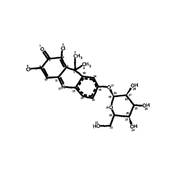 CC1(C)C2=C(Cl)C(=O)C(Cl)=CC2=Nc2ccc(O[C@@H]3OC(CO)[C@H](O)C(O)[C@@H]3O)cc21